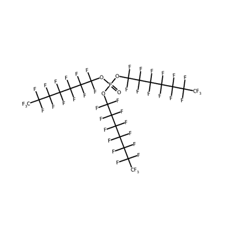 O=P(OC(F)(F)C(F)(F)C(F)(F)C(F)(F)C(F)(F)C(F)(F)C(F)(F)F)(OC(F)(F)C(F)(F)C(F)(F)C(F)(F)C(F)(F)C(F)(F)C(F)(F)F)OC(F)(F)C(F)(F)C(F)(F)C(F)(F)C(F)(F)C(F)(F)C(F)(F)F